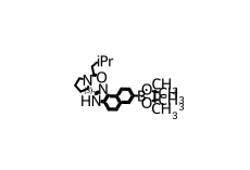 CC(C)CC(=O)N1CCC[C@H]1c1nc2c(ccc3cc(B4OC(C)(C)C(C)(C)O4)ccc32)[nH]1